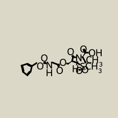 CC1(C)[C@H](C(=O)O)N2C(=O)[C@H](COC(=O)CNC(=O)OCc3ccccc3)[C@H]2S1(=O)=O